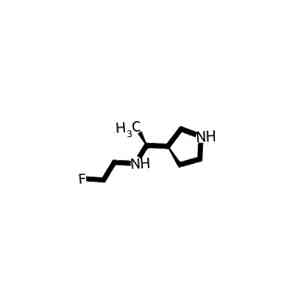 C[C@H](NCCF)[C@@H]1CCNC1